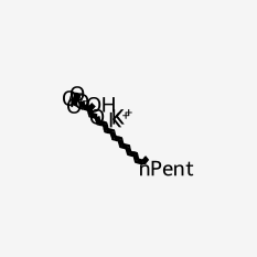 CCCCCC(C)CCCCCCCCCCCOCC(O)COP(=O)([O-])[O-].[K+].[K+]